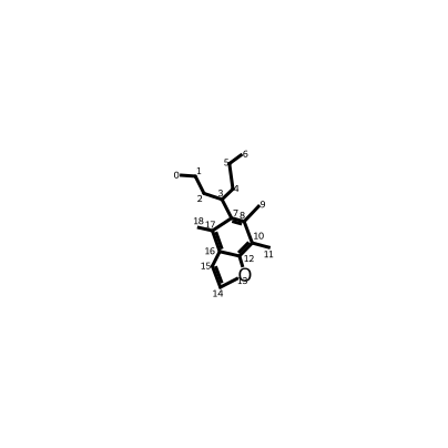 CCCC(CCC)c1c(C)c(C)c2occc2c1C